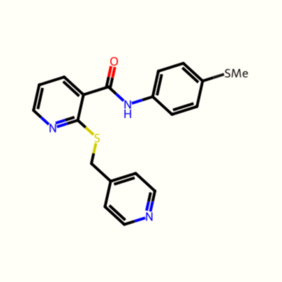 CSc1ccc(NC(=O)c2cccnc2SCc2ccncc2)cc1